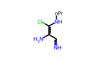 CCCN/C(Cl)=C(/N)C=N